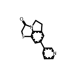 O=C1CSc2cc(-c3cccnc3)cc3c2N1CC3